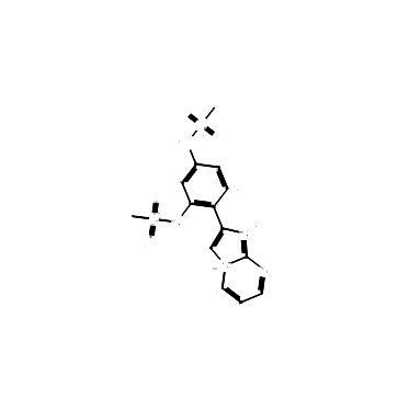 CS(=O)(=O)Nc1cc(OS(C)(=O)=O)ccc1-c1cn2cccnc2n1